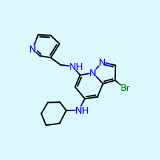 Brc1cnn2c(NCc3cccnc3)cc(NC3CCCCC3)cc12